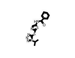 CC(C)n1nnnc1Sc1ncc(NC(=O)c2ccccc2)s1